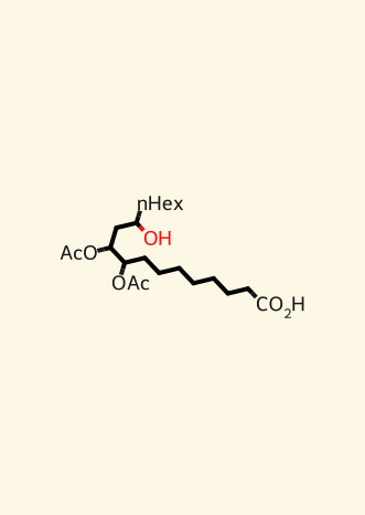 CCCCCCC(O)CC(OC(C)=O)C(CCCCCCCC(=O)O)OC(C)=O